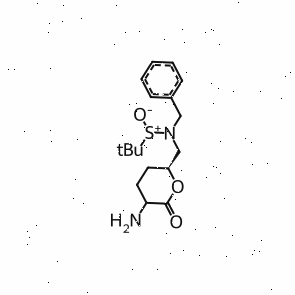 CC(C)(C)[S+]([O-])N(Cc1ccccc1)C[C@@H]1CCC(N)C(=O)O1